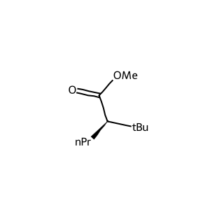 CCC[C@@H](C(=O)OC)C(C)(C)C